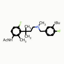 CC(=O)Nc1ccc(F)c(C(C)(C)CCN(C)Cc2ccc(F)c(C(C)(C)C)c2)c1C